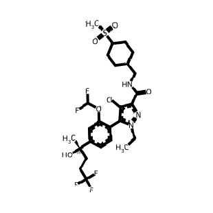 CCn1nc(C(=O)NCC2CCC(S(C)(=O)=O)CC2)c(Cl)c1-c1ccc([C@@](C)(O)CCC(F)(F)F)cc1OC(F)F